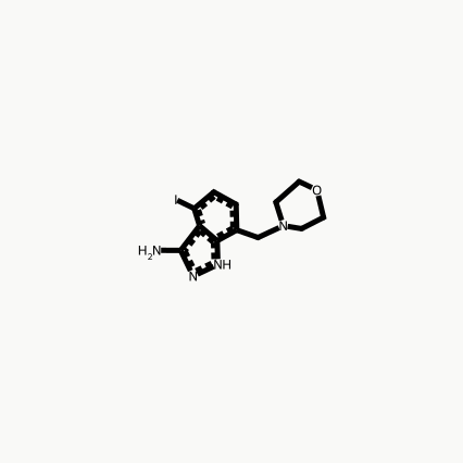 Nc1n[nH]c2c(CN3CCOCC3)ccc(I)c12